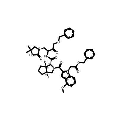 COc1cccc2c1cc(C(=O)N1C[C@@H]3CCC[C@@H]3[C@H]1C(=O)NC(C[C@@H]1CC(C)(C)NC1=O)C(=O)COCc1ccccc1)n2CC(=O)OCc1ccccc1